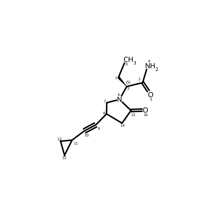 CC[C@@H](C(N)=O)N1CC(C#CC2CC2)CC1=O